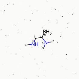 BC(CNC)N(C)C